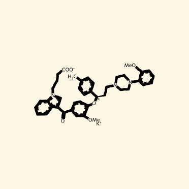 COc1cc(C(=O)c2cn(CCCC(=O)[O-])c3ccccc23)ccc1O[C@H](CCN1CCN(c2ccccc2OC)CC1)c1ccc(C)cc1.[K+]